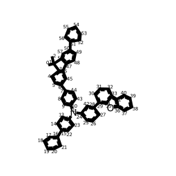 CC1(C)c2ccc(-c3ccc(N(c4ccc(-c5ccccc5)cc4)c4cccc(-c5cccc6c5oc5ccccc56)c4)cc3)cc2-c2ccc(-c3ccccc3)cc21